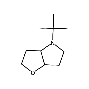 CC(C)(C)N1CCC2OCCC21